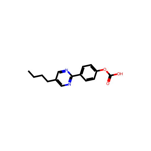 CCCCc1cnc(-c2ccc(OC(=O)O)cc2)nc1